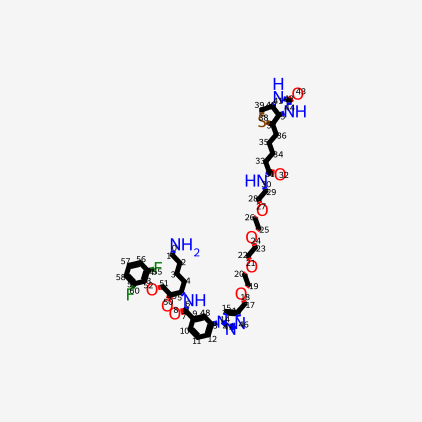 NCCCCC(NC(=O)c1cccc(-n2cc(COCCOCCOCCOCCNC(=O)CCCCC3SCC4NC(=O)NC43)nn2)c1)C(=O)COc1c(F)cccc1F